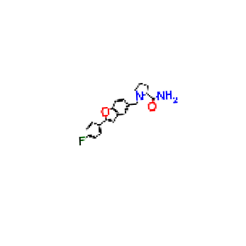 NC(=O)C1CCCN1Cc1ccc2oc(-c3ccc(F)cc3)cc2c1